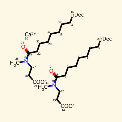 CCCCCCCCCCCCCCCCCC(=O)N(C)CCC(=O)[O-].CCCCCCCCCCCCCCCCCC(=O)N(C)CCC(=O)[O-].[Ca+2]